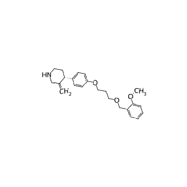 C=C1CNCC[C@@H]1c1ccc(OCCCOCc2ccccc2OC)cc1